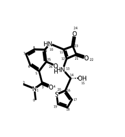 CN(C)C(=O)c1cccc(Nc2c(N[C@H](O)c3cccs3)c(=O)c2=O)c1O